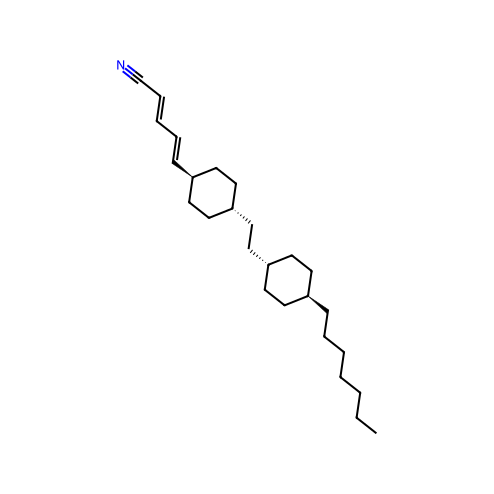 CCCCCCC[C@H]1CC[C@H](CC[C@H]2CC[C@H](C=CC=CC#N)CC2)CC1